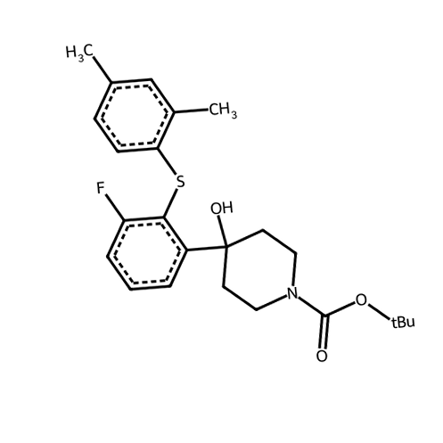 Cc1ccc(Sc2c(F)cccc2C2(O)CCN(C(=O)OC(C)(C)C)CC2)c(C)c1